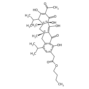 CCCCOC(=O)Cc1cc(C(C)C)c2c(c1O)C(=O)C1=C(O)[C@@]3(O)C(=O)C(C(C)=O)=C(O)C(C(C)C)[C@@]3(C)C[C@@]1(C)C2